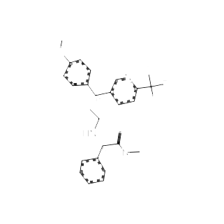 CNC(=O)[C@@H](NCC[C@H](c1ccc(OC)cc1)c1ccc(C(F)(F)F)nc1)c1ccccc1